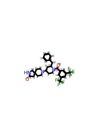 O=C1CC2(CCN(C3CCN(C(=O)c4cc(C(F)(F)F)cc(C(F)(F)F)c4)C(Cc4ccccc4)C3)CC2)CN1